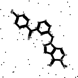 CC(C)(C)n1ncc2c(cnn2Cc2cccc(C(=O)c3ccc(Cl)cc3)c2)c1=O